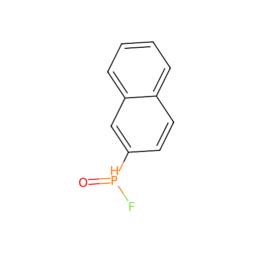 O=[PH](F)c1ccc2ccccc2c1